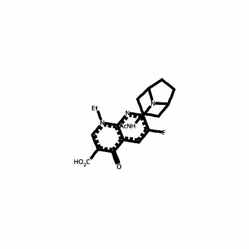 CCn1cc(C(=O)O)c(=O)c2cc(F)c(N3C4CCC3CC(NC(C)=O)C4)nc21